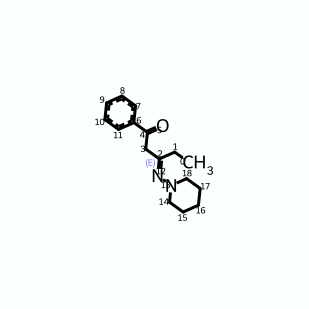 CC/C(CC(=O)c1ccccc1)=N\N1CCCCC1